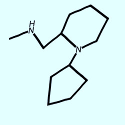 CNCC1CCCCN1C1CCCC1